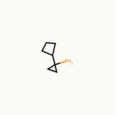 PC1(C2CCC2)CC1